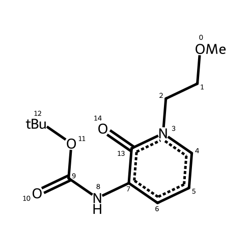 COCCn1cccc(NC(=O)OC(C)(C)C)c1=O